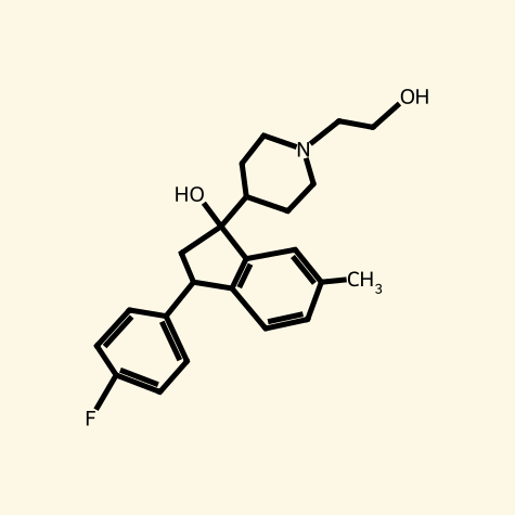 Cc1ccc2c(c1)C(O)(C1CCN(CCO)CC1)CC2c1ccc(F)cc1